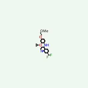 COCCOc1ccc(Nc2ccnc3cc(C(F)F)ccc23)c(OC2CC2)c1